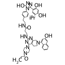 C=CC(=O)N1CCN(c2nc(NCCC(=O)NCCc3ccc(-n4c(O)nnc4-c4cc(C(C)C)c(O)cc4O)cc3)nc3c2CCN(c2cc(O)cc4ccccc24)C3)CC1